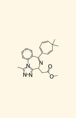 COC(=O)CC1N=C(C2=CC=CC(C)(C)C=C2)c2ccccc2-n2c(C)nnc21